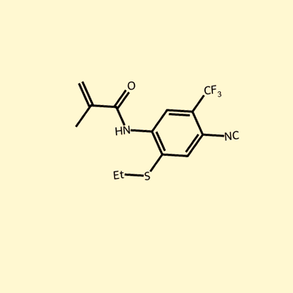 [C-]#[N+]c1cc(SCC)c(NC(=O)C(=C)C)cc1C(F)(F)F